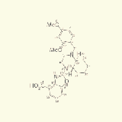 COc1ccc(CN2CCN(c3nc4c(C(=O)O)cccc4o3)[C@H]3CCCC[C@@H]32)c(OC)c1